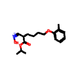 Cc1ccccc1OCCCCC(/C=N\O)C(=O)OC(C)C